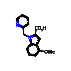 COc1cccc2c1cc(C(=O)O)n2Cc1ccccn1